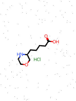 Cl.O=C(O)CCCCC1COCCN1